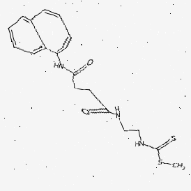 CSC(=S)NCCNC(=O)CCC(=O)Nc1cccc2ccccc12